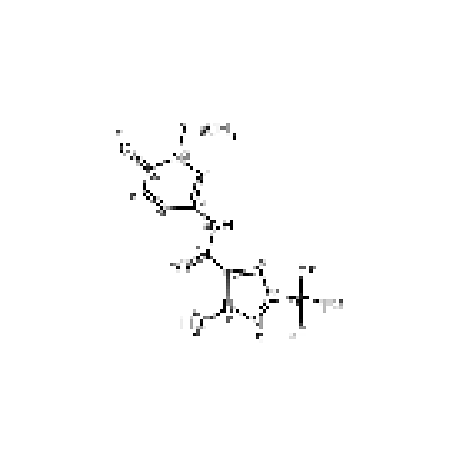 CCn1cc(NC(=O)c2cc(C(F)(F)F)nn2C)ccc1=O